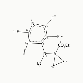 CCOC(=O)C1(N(CC)c2c(F)c(F)nc(F)c2F)CC1